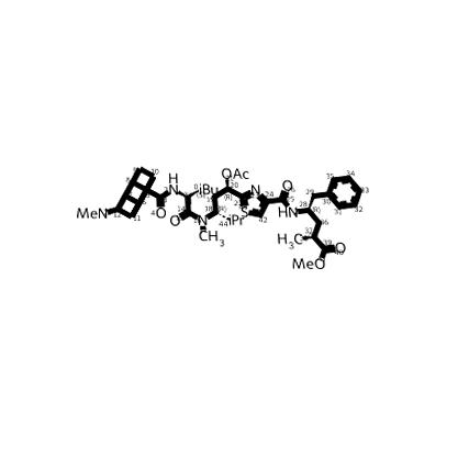 CC[C@H](C)[C@H](NC(=O)C12C3C4C1C1C2C3C41NC)C(=O)N(C)[C@H](C[C@@H](OC(C)=O)c1nc(C(=O)N[C@@H](Cc2ccccc2)C[C@H](C)C(=O)OC)cs1)C(C)C